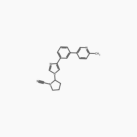 Cc1ccc(-c2cccc(-c3cn(C4CCCN4C#N)cn3)c2)cn1